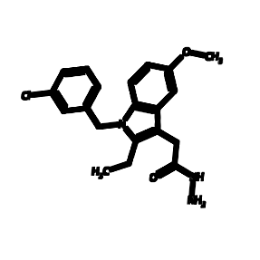 CCc1c(CC(=O)NN)c2cc(OC)ccc2n1Cc1cccc(Cl)c1